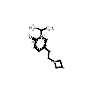 CC(C)n1cc(CCN2CCC2)ccc1=O